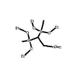 CCCCCCCCCCCC([Si](C)(OCC)OCC)[Si](C)(OCC)OCC